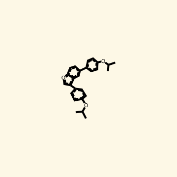 CC(C)Oc1ccc(-c2ccc3occ(-c4ccc(OC(C)C)cc4)c3c2)cc1